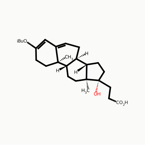 CC(C)COC1=CC2=CC[C@@H]3[C@H](CC[C@@]4(C)[C@H]3CC[C@@]4(O)CCC(=O)O)[C@@]2(C)CC1